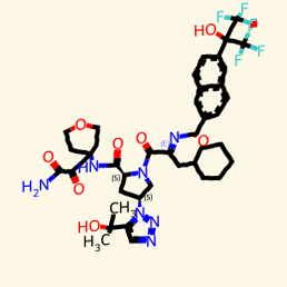 CC(C)(O)c1cnnn1[C@H]1C[C@@H](C(=O)NC2(C(=O)C(N)=O)CCOCC2)N(C(=O)/C(CC2CCCCC2)=N/C(=O)c2ccc3cc(C(O)(C(F)(F)F)C(F)(F)F)ccc3c2)C1